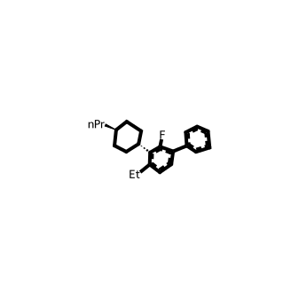 CCC[C@H]1CC[C@H](c2c(CC)ccc(-c3ccccc3)c2F)CC1